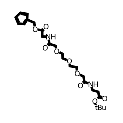 CC(C)(C)OC(=O)CCNC(=O)COCCOCCOCC(=O)NCC(=O)OCc1ccccc1